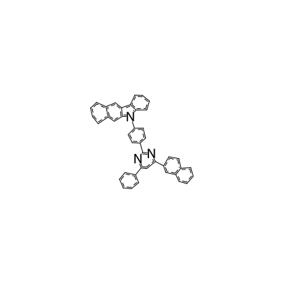 c1ccc(-c2cc(-c3ccc4ccccc4c3)nc(-c3ccc(-n4c5ccccc5c5cc6ccccc6cc54)cc3)n2)cc1